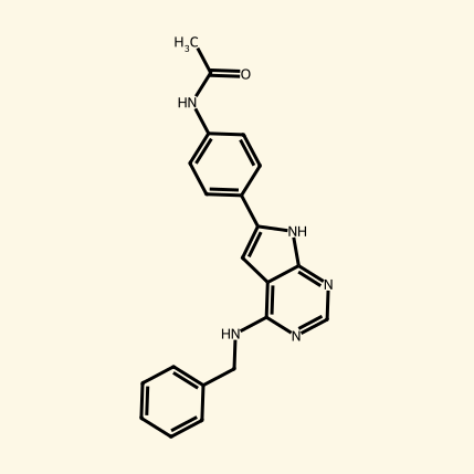 CC(=O)Nc1ccc(-c2cc3c(NCc4ccccc4)ncnc3[nH]2)cc1